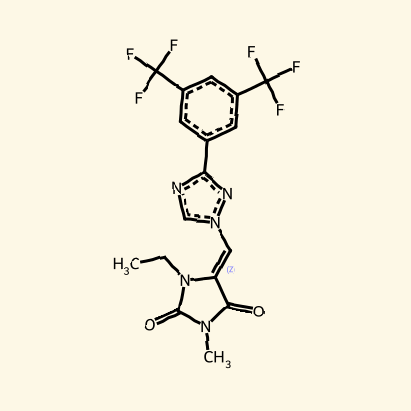 CCN1C(=O)N(C)C(=O)/C1=C/n1cnc(-c2cc(C(F)(F)F)cc(C(F)(F)F)c2)n1